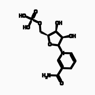 NC(=O)C1=CN(C2O[C@H](COP(=O)(O)O)[C@@H](O)[C@H]2O)C=CC1